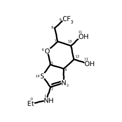 CCNC1=NC2C(OC(CC(F)(F)F)C(O)C2O)S1